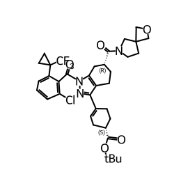 CC(C)(C)OC(=O)[C@@H]1CC=C(c2nn(C(=O)c3c(Cl)cccc3C3(C(F)(F)F)CC3)c3c2CC[C@@H](C(=O)N2CCC4(COC4)C2)C3)CC1